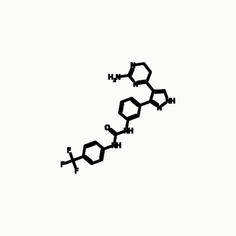 NC1=NCCC(c2c[nH]nc2-c2cccc(NC(=O)Nc3ccc(C(F)(F)F)cc3)c2)=N1